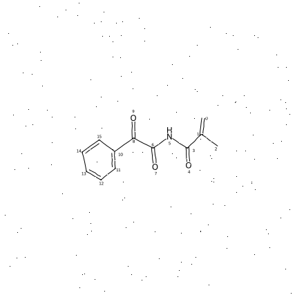 C=C(C)C(=O)NC(=O)C(=O)c1ccccc1